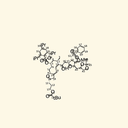 C=C([C@H](C)C[C@@H](CC[C@@H]1O[C@@H](CCCOC(=O)C(C)(C)C)CC1=C)OS(=O)(=O)c1c(C(C)C)cc(C(C)C)cc1C(C)C)[C@H](O)C[C@@H]1O[C@H](CC2COC(C)(C)O2)[C@H](OC)[C@H]1CS(=O)(=O)c1ccccc1